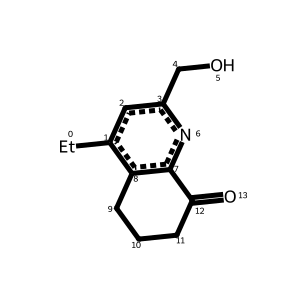 CCc1cc(CO)nc2c1CCCC2=O